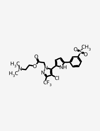 CN(C)CCOC(=O)Cn1nc(C(F)(F)F)c(Cl)c1-c1ccc(-c2cccc(S(C)(=O)=O)c2)[nH]1